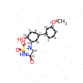 COc1cccc(-c2ccc(O)c(N3CC(=O)NS3(=O)=O)c2)c1